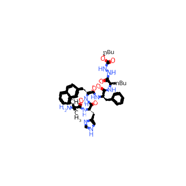 CCCCOC(=O)NNC(=O)C(CCCC)NC(=O)[C@@H](Cc1ccccc1)NC(=O)[C@@H](Cc1ccc2ccccc2c1)NC(=O)[C@H](Cc1c[nH]cn1)NC(=O)C(C)(C)N